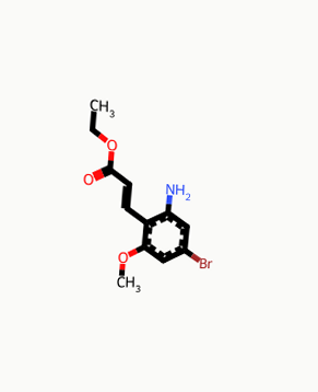 CCOC(=O)C=Cc1c(N)cc(Br)cc1OC